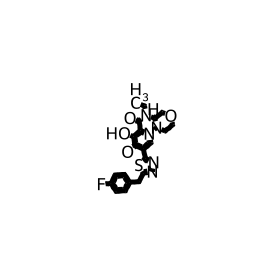 CCN1C(=O)c2c(O)c(=O)c(-c3nnc(Cc4ccc(F)cc4)s3)cn2N2CCOC[C@H]12